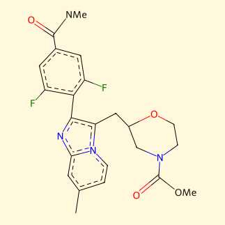 CNC(=O)c1cc(F)c(-c2nc3cc(C)ccn3c2CC2CN(C(=O)OC)CCO2)c(F)c1